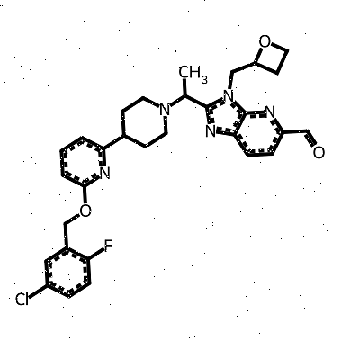 CC(c1nc2ccc(C=O)nc2n1CC1CCO1)N1CCC(c2cccc(OCc3cc(Cl)ccc3F)n2)CC1